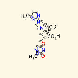 Cc1ccnc(N2CCN(CCCCOc3cnn(C)c(=O)n3)CC2)n1.O=C(O)C=CC(=O)O